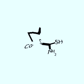 CCCC.NC(=S)S.[Co]